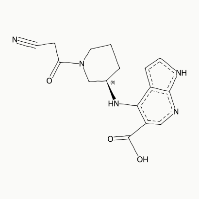 N#CCC(=O)N1CCC[C@@H](Nc2c(C(=O)O)cnc3[nH]ccc23)C1